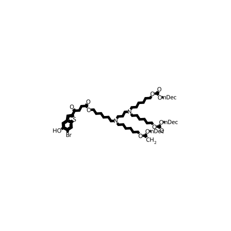 C=C(OCCCCCCCCCC)OCCCCCCN(CCCCCCOC(=O)CCC(=O)c1cc2cc(O)c(Br)cc2s1)CCCN(CCCCCCOC(=O)OCCCCCCCCCC)CCCCCCOC(=O)OCCCCCCCCCC